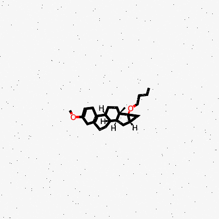 CCCCO[C@@]12C[C@@H]1C[C@H]1[C@@H]3CCC4=C(CC=C(OC)C4)[C@H]3CC[C@@]12C